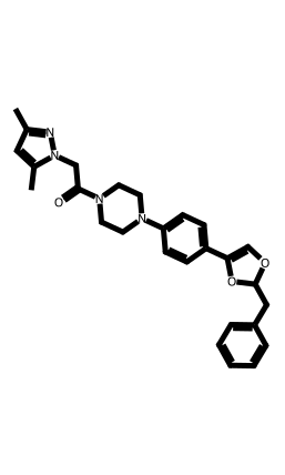 Cc1cc(C)n(CC(=O)N2CCN(c3ccc(C4=COC(Cc5ccccc5)O4)cc3)CC2)n1